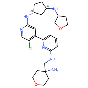 NC1(CNc2cccc(-c3cc(N[C@@H]4CC[C@@H](NC5CCOC5)C4)ncc3Cl)n2)CCOCC1